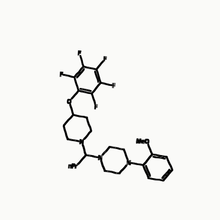 CCCC(N1CCC(Oc2c(F)c(F)c(F)c(F)c2F)CC1)N1CCN(c2ccccc2OC)CC1